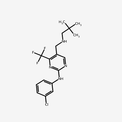 CC(C)(C)CNCc1cnc(Nc2cccc(Cl)c2)nc1C(F)(F)F